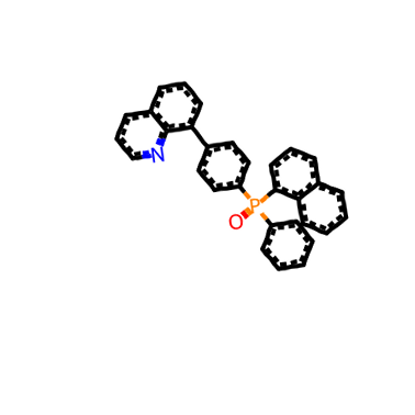 O=P(c1ccccc1)(c1ccc(-c2cccc3cccnc23)cc1)c1cccc2ccccc12